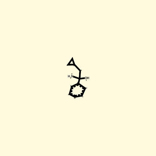 NC(O)(CC1CC1)c1ccccc1